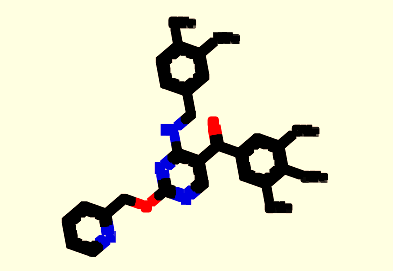 CNc1cc(CNc2nc(OCc3ccccn3)ncc2C(=O)c2cc(OC)c(OC)c(OC)c2)ccc1OC